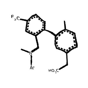 CC(=O)N(C)Cc1cc(C(F)(F)F)ccc1-c1cc(CC(=O)O)ccc1C